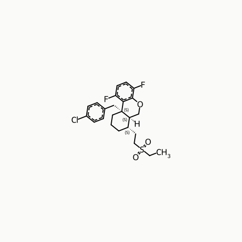 CCS(=O)(=O)CC[C@@H]1CCC[C@@]2(Cc3ccc(Cl)cc3)c3c(F)ccc(F)c3OC[C@@H]12